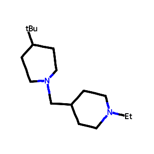 CCN1CCC(CN2CCC(C(C)(C)C)CC2)CC1